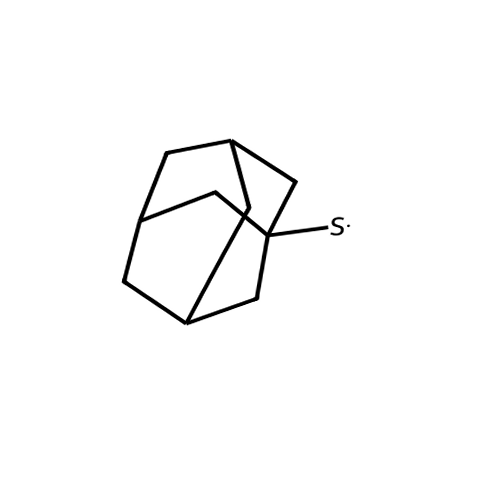 [S]C12CC3CC(CC(C3)C1)C2